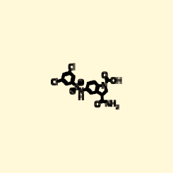 NC(=O)C1CN(C(=O)O)c2ccc(NS(=O)(=O)c3cc(Cl)cc(Cl)c3)cc21